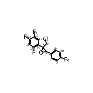 Fc1ccc(C2OC2(CCl)c2cc(F)c(F)cc2F)cc1